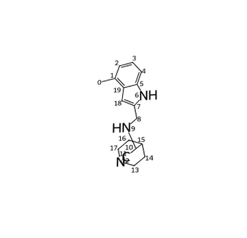 Cc1cccc2[nH]c(CNC3CN4CCC3CC4)cc12